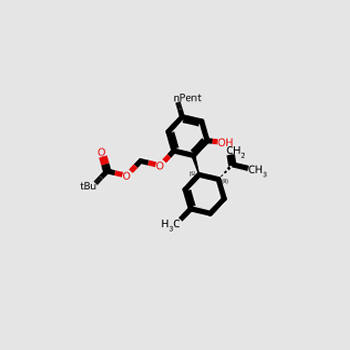 C=C(C)[C@@H]1CCC(C)=C[C@H]1c1c(O)cc(CCCCC)cc1OCOC(=O)C(C)(C)C